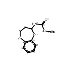 CC(C)(C)OC(=O)NC1CCSc2ccccc2O1